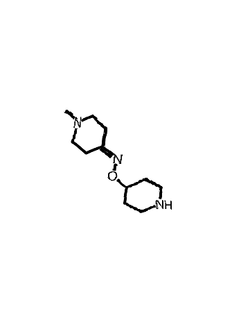 CN1CCC(=NOC2CCNCC2)CC1